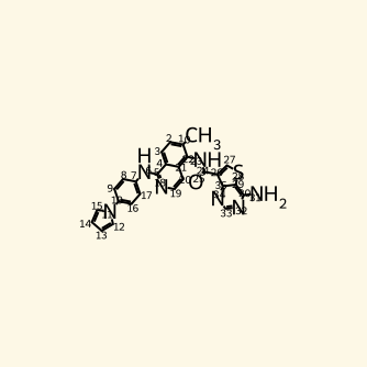 Cc1ccc2c(Nc3ccc(-n4cccc4)cc3)nccc2c1NC(=O)c1csc2c(N)ncnc12